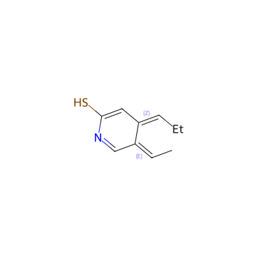 C/C=c1/cnc(S)c/c1=C/CC